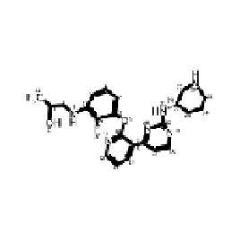 OC(CNc1cccc(Oc2ncccc2-c2ccnc(N[C@H]3CCCNC3)n2)c1F)C(F)(F)F